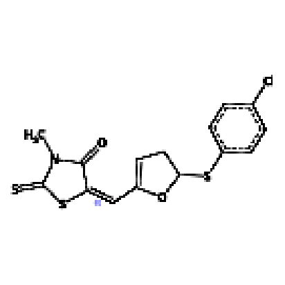 CN1C(=O)/C(=C\C2=CCC(Sc3ccc(Cl)cc3)O2)SC1=S